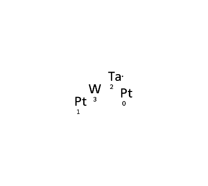 [Pt].[Pt].[Ta].[W]